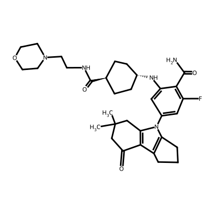 CC1(C)CC(=O)c2c3c(n(-c4cc(F)c(C(N)=O)c(N[C@H]5CC[C@H](C(=O)NCCN6CCOCC6)CC5)c4)c2C1)CCC3